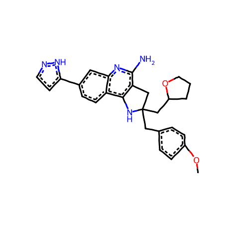 COc1ccc(CC2(CC3CCCO3)Cc3c(N)nc4cc(-c5ccn[nH]5)ccc4c3N2)cc1